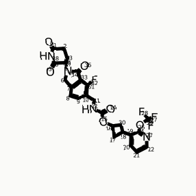 O=C1CC[C@@H](N2Cc3ccc(CNC(=O)OC4CC(c5cccnc5OC(F)(F)F)C4)c(F)c3C2=O)C(=O)N1